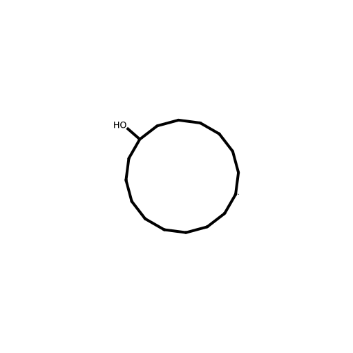 OC1CCCCCC[CH]CCCCCCCC1